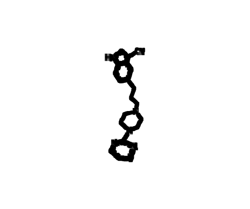 N#Cc1c[nH]c2ccc(CCCN3CCN(c4ncccn4)CC3)cc12